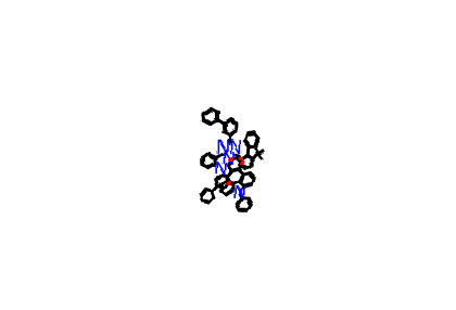 CC1(C)c2ccccc2-c2c(-c3nc(-c4cccc(-c5ccccc5)c4)nc(-c4ccccc4-n4c5cc(C6C=CC=CC6)ccc5c5c(-c6cccc7c6c6ccccc6n7-c6ccccc6)cccc54)n3)cccc21